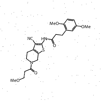 COCCC(=O)N1CCc2c(sc(NC(=O)CCc3cc(OC)ccc3OC)c2C#N)C1